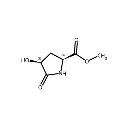 COC(=O)[C@@H]1C[C@H](O)C(=O)N1